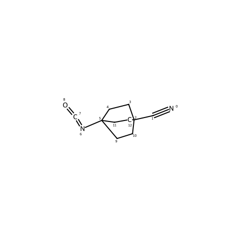 N#CC12CCC(N=C=O)(CC1)CC2